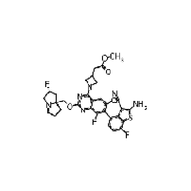 COC(=O)CC1CN(c2nc(OC[C@@]34CCCN3C[C@H](F)C4)nc3c(F)c(-c4ccc(F)c5sc(N)c(C#N)c45)c(Cl)cc23)C1